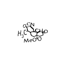 COC(=O)[C@]12CCC(=O)C=C1[C@@]1(C)C=C(C#N)C(=O)[C@H](C)C1CC2